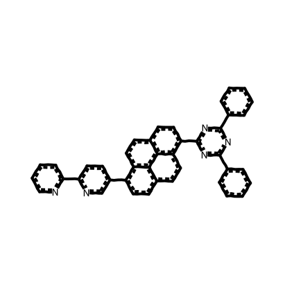 c1ccc(-c2nc(-c3ccccc3)nc(-c3ccc4ccc5c(-c6ccc(-c7ccccn7)nc6)ccc6ccc3c4c65)n2)cc1